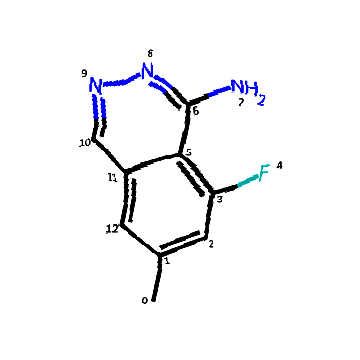 Cc1cc(F)c2c(N)nncc2c1